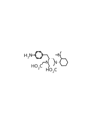 CN(C)[C@H]1CCCC[C@@H]1N(C)C[C@@H](Cc1ccc(N)cc1)N(CC(=O)O)CC(=O)O